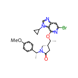 COc1ccc([C@@H](C)N2C[C@H]([C@@H](C)Oc3nc(Br)cc4ncn(C5CC5)c34)CC2=O)cc1